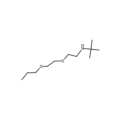 [CH2]CCOCCOCCNC(C)(C)C